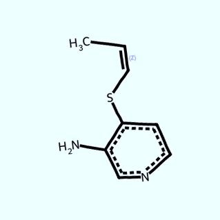 C/C=C\Sc1ccncc1N